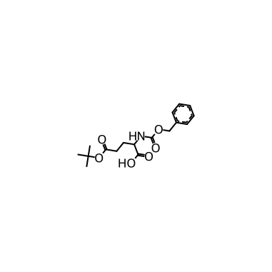 CC(C)(C)OC(=O)CCC(NC(=O)OCc1ccccc1)C(=O)O